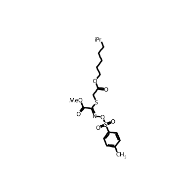 COC(=O)/C(=N/OS(=O)(=O)c1ccc(C)cc1)SCC(=O)OCCCCCC(C)C